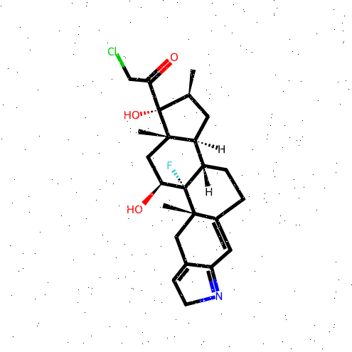 C[C@H]1C[C@H]2[C@@H]3CCC4=CC5=NCC=C5C[C@]4(C)[C@@]3(F)[C@@H](O)C[C@]2(C)[C@@]1(O)C(=O)CCl